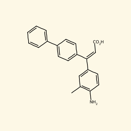 Cc1cc(C(=CC(=O)O)c2ccc(-c3ccccc3)cc2)ccc1N